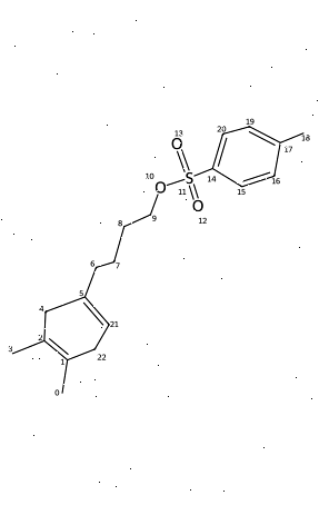 CC1=C(C)CC(CCCCOS(=O)(=O)c2ccc(C)cc2)=CC1